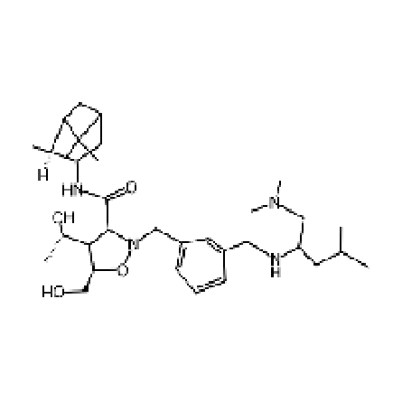 CC(C)CC(CN(C)C)NCc1cccc(CN2O[C@@H](CO)C([C@H](C)O)[C@H]2C(=O)NC2CC3CC([C@@H]2C)C3(C)C)c1